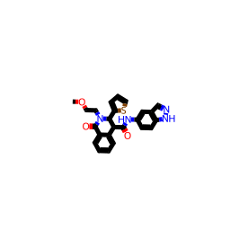 COCCN1C(=O)c2ccccc2C(C(=O)Nc2ccc3[nH]ncc3c2)C1c1cccs1